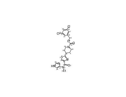 CCN(C(=O)c1csc(C2CCN(C(=O)OCc3cc(Cl)cc(Cl)c3)CC2)n1)c1c[nH]cn1